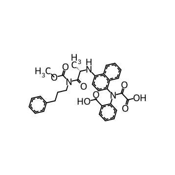 COC(=O)N(CCCc1ccccc1)C(=O)[C@H](C)Nc1ccc(N(C(=O)C(=O)O)c2ccccc2C(=O)O)c2ccccc12